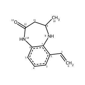 C=Cc1cccc2c1NC(C)CC(=O)N2